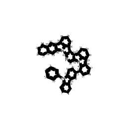 c1ccc(-n2c3ccccc3c3cc(-c4cccc5c6cccc7c8c9c%10cccc%11c%12cc%13ccccc%13cc%12n(c9ncc8n(c45)c67)c%11%10)ccc32)cc1